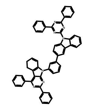 C1=Cc2c(c3c(-c4ccccc4)nc(-c4ccccc4)nc3n2-c2cccc(-c3ccc4c(c3)c3ccccc3n4-c3nc(-c4ccccc4)nc(-c4ccccc4)n3)c2)CC1